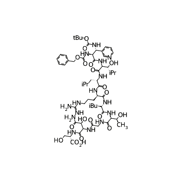 CC[C@H](C)[C@H](NC(=O)[C@@H](CCCNC(=N)N)NC(=O)[C@H](CC(C)C)NC(=O)C(NC(=O)[C@@H](NC(=O)OCc1ccccc1)[C@H](NC(=O)OC(C)(C)C)c1cccnc1)[C@H](O)C(C)C)C(=O)N[C@H](C(=O)NCC(=O)NC(C(=O)N[C@@H](CO)C(=O)O)[C@H](O)C(N)=O)[C@H](C)O